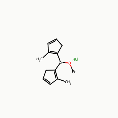 CC[O][Zr]([C]1=C(C)C=CC1)[C]1=C(C)C=CC1.Cl